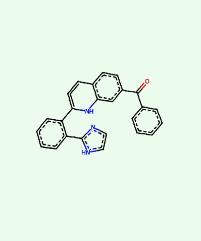 O=C(c1ccccc1)c1ccc2c(c1)NC(c1ccccc1-c1ncc[nH]1)=C=C2